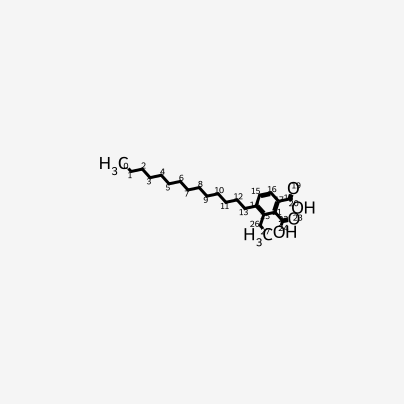 CCCCCCCCCCCCCCc1ccc(C(=O)O)c(C(=O)O)c1CC